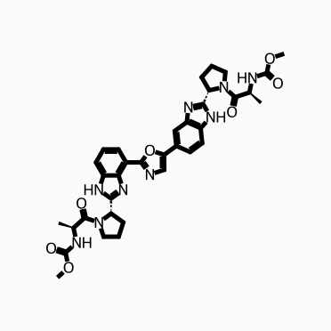 COC(=O)N[C@@H](C)C(=O)N1CCC[C@H]1c1nc2cc(-c3cnc(-c4cccc5[nH]c([C@@H]6CCCN6C(=O)[C@H](C)NC(=O)OC)nc45)o3)ccc2[nH]1